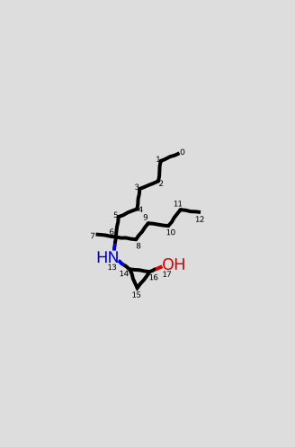 CCCCCCC(C)(CCCCC)NC1CC1O